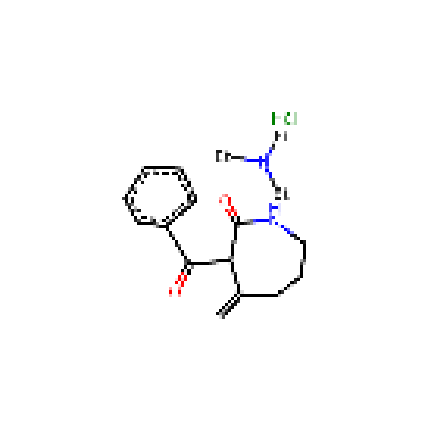 C=C1CCCNC(=O)C1C(=O)c1ccccc1.CCN(CC)CC.Cl